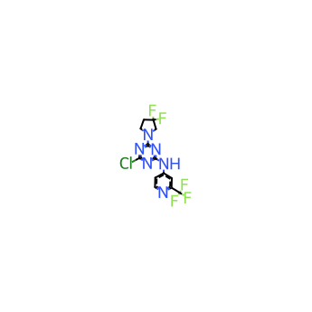 FC1(F)CCN(c2nc(Cl)nc(Nc3ccnc(C(F)(F)F)c3)n2)C1